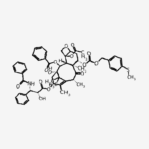 CSc1ccc(COC(=O)O[C@H]2CC3OC[C@@]3(OC(C)=O)[C@H]3[C@H](OC(=O)c4ccccc4)[C@]4(O)C[C@H](OC(=O)[C@H](O)[C@@H](NC(=O)c5ccccc5)c5ccccc5)C(C)=C([C@@H](C)C(=O)[C@]23C)C4(C)C)cc1